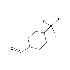 O=CC1CCC(C(F)(F)F)CC1